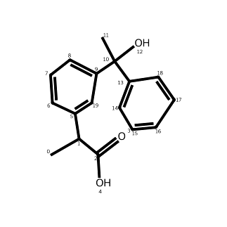 CC(C(=O)O)c1cccc(C(C)(O)c2ccccc2)c1